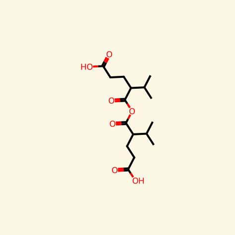 CC(C)C(CCC(=O)O)C(=O)OC(=O)C(CCC(=O)O)C(C)C